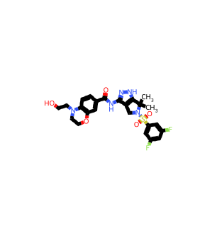 CC1(C)c2[nH]nc(NC(=O)c3ccc4c(c3)OCCN4CCO)c2CN1S(=O)(=O)c1cc(F)cc(F)c1